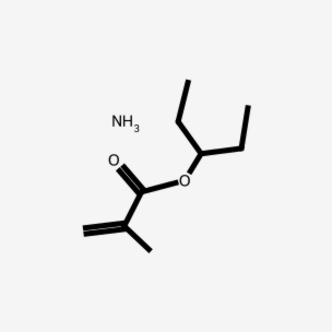 C=C(C)C(=O)OC(CC)CC.N